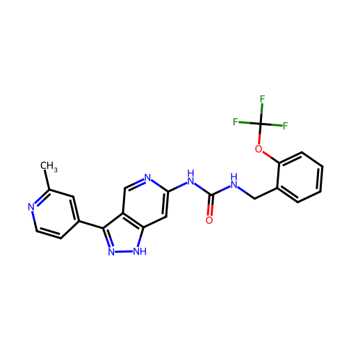 Cc1cc(-c2n[nH]c3cc(NC(=O)NCc4ccccc4OC(F)(F)F)ncc23)ccn1